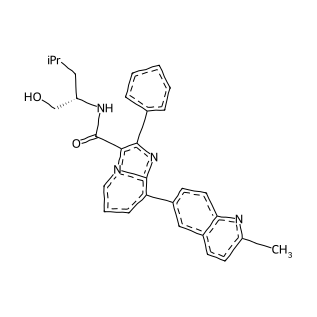 Cc1ccc2cc(-c3cccn4c(C(=O)N[C@H](CO)CC(C)C)c(-c5ccccc5)nc34)ccc2n1